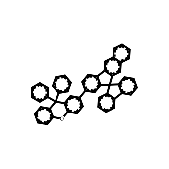 c1ccc(C2(c3ccccc3)c3ccccc3Oc3ccc(-c4ccc5c(c4)C4(c6ccccc6-c6ccccc64)c4cc6ccccc6cc4-5)cc32)cc1